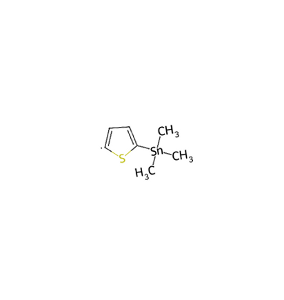 [CH3][Sn]([CH3])([CH3])[c]1cc[c]s1